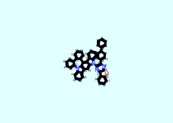 C1=CC(c2ccccc2)CC=C1c1nc2oc3ccccc3c2nc1-n1c2ccccc2c2c3c4c(cc21)c1ccccc1n4-c1ccccc1-c1ccccc1-3